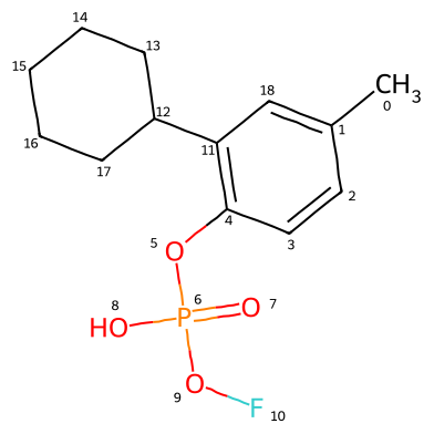 Cc1ccc(OP(=O)(O)OF)c(C2CCCCC2)c1